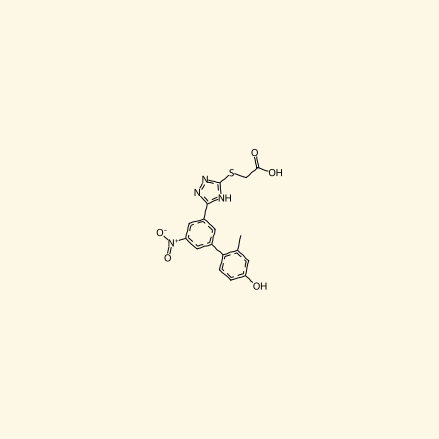 Cc1cc(O)ccc1-c1cc(-c2nnc(SCC(=O)O)[nH]2)cc([N+](=O)[O-])c1